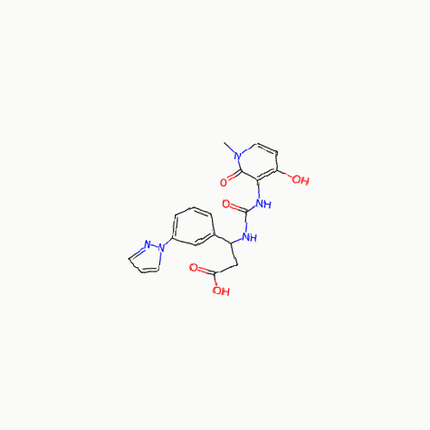 Cn1ccc(O)c(NC(=O)NC(CC(=O)O)c2cccc(-n3cccn3)c2)c1=O